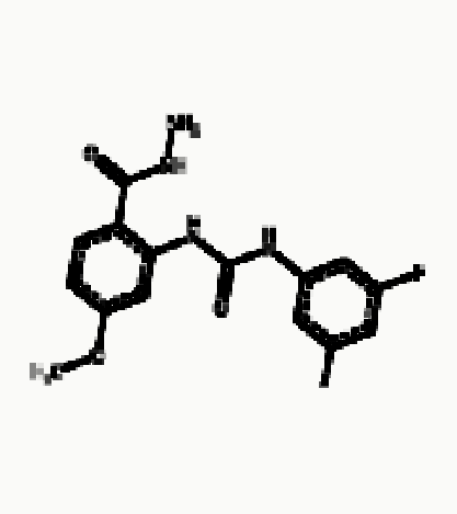 COc1ccc(C(=O)NN)c(NC(=O)Nc2cc(F)cc(F)c2)c1